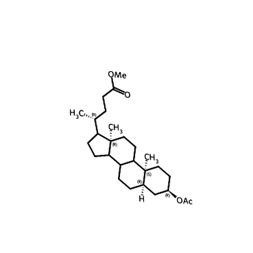 COC(=O)CC[C@@H](C)C1CCC2C3CC[C@@H]4C[C@H](OC(C)=O)CC[C@]4(C)C3CC[C@@]21C